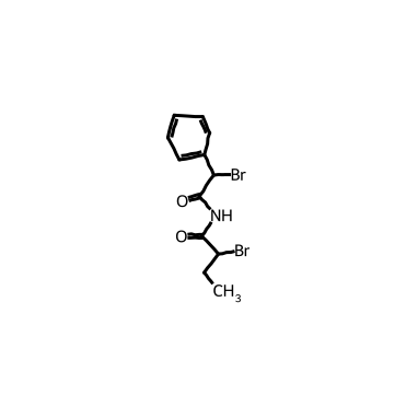 CCC(Br)C(=O)NC(=O)C(Br)c1ccccc1